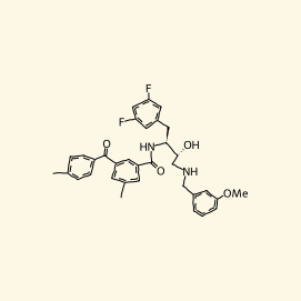 COc1cccc(CNC[C@@H](O)[C@H](Cc2cc(F)cc(F)c2)NC(=O)c2cc(C)cc(C(=O)c3ccc(C)cc3)c2)c1